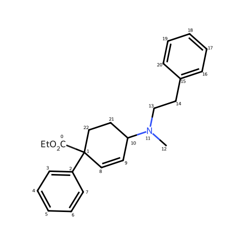 CCOC(=O)C1(c2ccccc2)C=CC(N(C)CCc2ccccc2)CC1